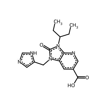 CCC(CC)n1c(=O)n(Cc2cnc[nH]2)c2cc(C(=O)O)cnc21